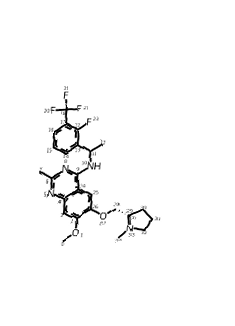 COc1cc2nc(C)nc(NC(C)c3cccc(C(F)(F)F)c3F)c2cc1OC[C@@H]1CCCN1C